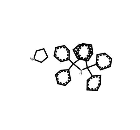 C1CCNC1.c1ccc(C(NC(c2ccccc2)(c2ccccc2)c2ccccc2)(c2ccccc2)c2ccccc2)cc1